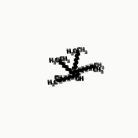 CC(C)CCCCCCCOc1c(CCCCCCCC(C)C)cc(O)c(CCCCCCCC(C)C)c1CCCCCCCC(C)C